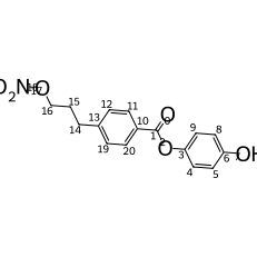 O=C(Oc1ccc(O)cc1)c1ccc(CCCO[N+](=O)[O-])cc1